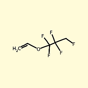 C=COC(F)(F)C(F)(F)CF